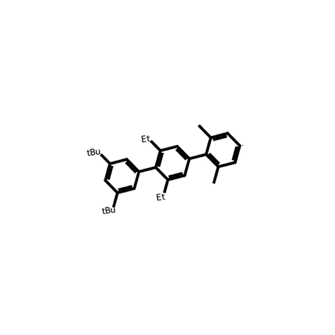 CCc1cc(-c2c(C)c[c]cc2C)cc(CC)c1-c1cc(C(C)(C)C)cc(C(C)(C)C)c1